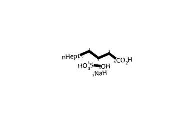 CCCCCCCCCCC(=O)O.O=S(=O)(O)O.[NaH]